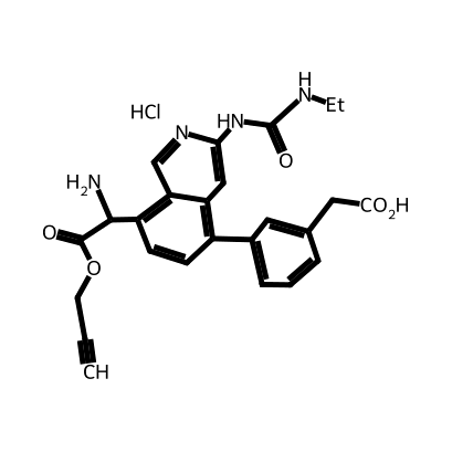 C#CCOC(=O)C(N)c1ccc(-c2cccc(CC(=O)O)c2)c2cc(NC(=O)NCC)ncc12.Cl